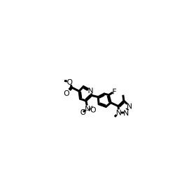 COC(=O)c1cnc(-c2ccc(-c3c(C)nnn3C)c(F)c2)c([N+](=O)[O-])c1